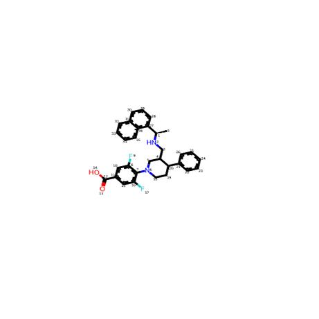 C[C@@H](NCC1CN(c2c(F)cc(C(=O)O)cc2F)CCC1c1ccccc1)c1cccc2ccccc12